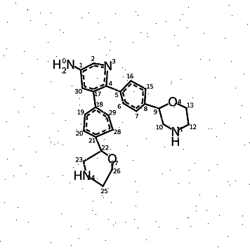 Nc1cnc(-c2ccc(C3CNCCO3)cc2)c(-c2ccc(C3CNCCO3)cc2)c1